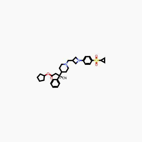 N#C[C@](CC(=O)OC1CCCC1)(c1ccccc1)C1CCN(CC2CN(c3ccc(S(=O)(=O)C4CC4)cc3)C2)CC1